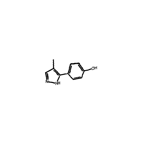 Cc1cn[nH]c1-c1ccc(O)cc1